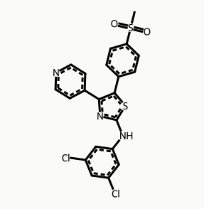 CS(=O)(=O)c1ccc(-c2sc(Nc3cc(Cl)cc(Cl)c3)nc2-c2ccncc2)cc1